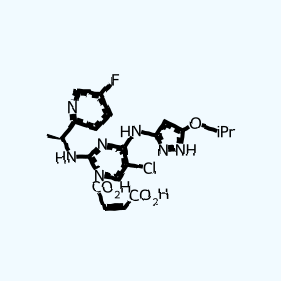 CC(C)Oc1cc(Nc2nc(N[C@@H](C)c3ccc(F)cn3)ncc2Cl)n[nH]1.O=C(O)/C=C\C(=O)O